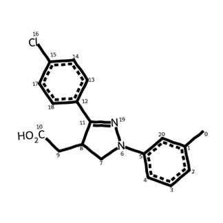 Cc1cccc(N2CC(CC(=O)O)C(c3ccc(Cl)cc3)=N2)c1